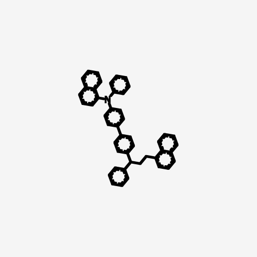 c1ccc(C(CCc2cccc3ccccc23)c2ccc(-c3ccc(N(c4ccccc4)c4cccc5ccccc45)cc3)cc2)cc1